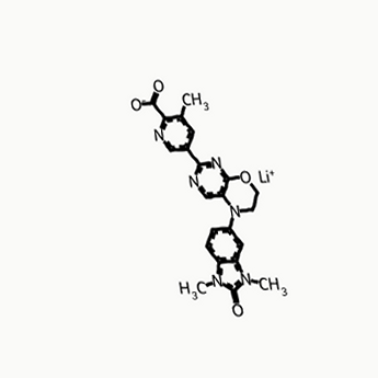 Cc1cc(-c2ncc3c(n2)OCCN3c2ccc3c(c2)n(C)c(=O)n3C)cnc1C(=O)[O-].[Li+]